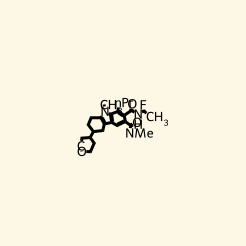 CCCc1c(C(=O)NC(C)F)c(C(=O)NC)cc2c3c(n(C)c12)CCC(C1CCOCC1)C3